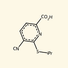 [C-]#[N+]c1ccc(C(=O)O)nc1SC(C)C